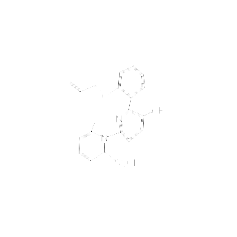 C=CCOc1ccccc1-c1nc(N2C(F)=CC=CC2S(=O)(=O)O)ccc1C(F)(F)F